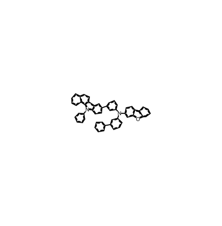 c1ccc(-c2cccc(N(c3cccc(-c4ccc5c(c4)c4ccc6ccccc6c4n5-c4ccccc4)c3)c3ccc4c(c3)oc3ccccc34)c2)cc1